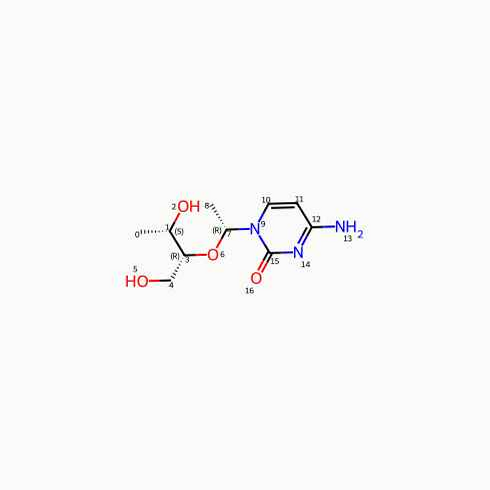 C[C@H](O)[C@@H](CO)O[C@H](C)n1ccc(N)nc1=O